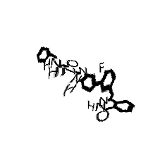 O=C(NCc1ccccc1)Nc1nc2cc(-c3cc(Cc4n[nH]c(=O)c5ccccc45)ccc3F)ccc2[nH]1